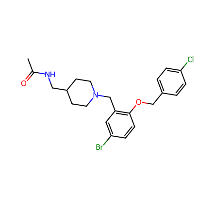 CC(=O)NCC1CCN(Cc2cc(Br)ccc2OCc2ccc(Cl)cc2)CC1